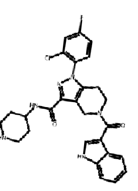 O=C(NC1CCNCC1)c1nn(-c2ccc(F)cc2Cl)c2c1CN(C(=O)c1c[nH]c3ccccc13)CC2